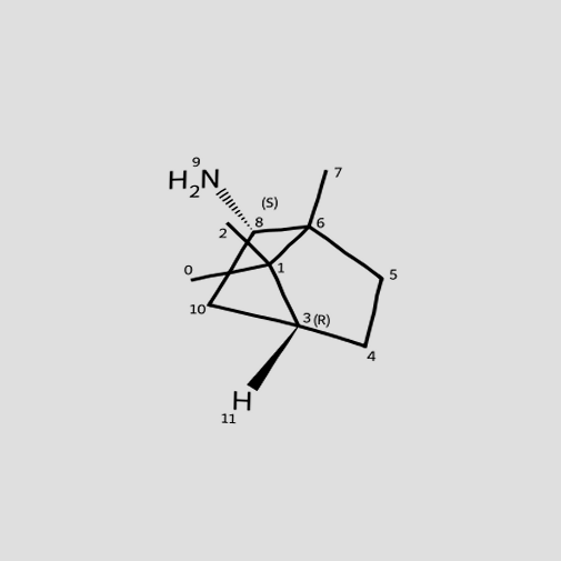 CC1(C)[C@@H]2CCC1(C)[C@@H](N)C2